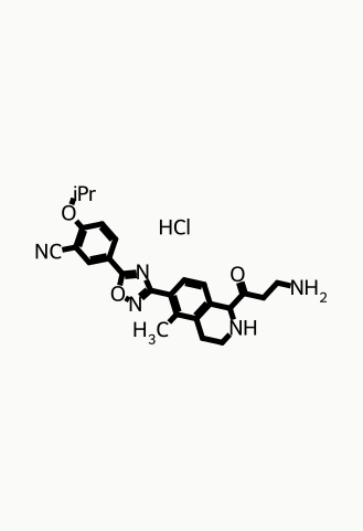 Cc1c(-c2noc(-c3ccc(OC(C)C)c(C#N)c3)n2)ccc2c1CCNC2C(=O)CCN.Cl